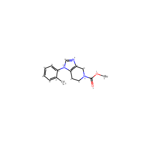 CC(C)(C)OC(=O)N1CCc2c(ncn2-c2ccccc2C(F)(F)F)C1